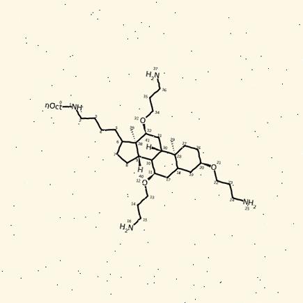 CCCCCCCCNCCCCC1CC[C@H]2C3[C@H](OCCCN)CC4C[C@H](OCCCN)CC[C@]4(C)[C@H]3C[C@H](OCCCN)[C@]12C